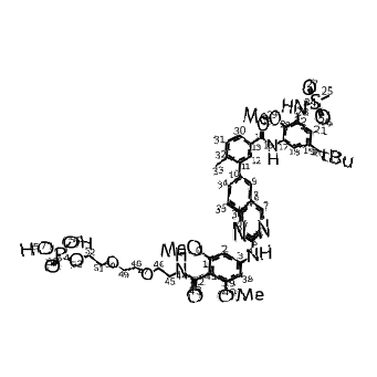 COc1cc(Nc2ncc3cc(-c4cc(C(=O)Nc5cc(C(C)(C)C)cc(NS(C)(=O)=O)c5OC)ccc4C)ccc3n2)cc(OC)c1C(=O)NCCOCCOCCOP(=O)(O)O